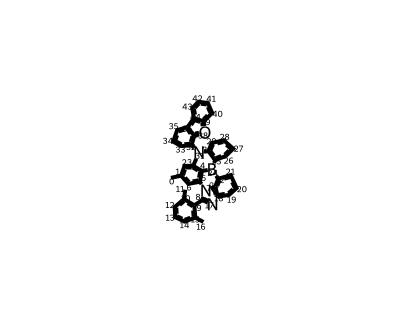 Cc1cc2c3c(c1)-n1c(-c4c(C)cccc4C)nc4cccc(c41)B3c1ccccc1N2c1cccc2c1oc1ccccc12